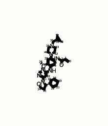 C=CC(=O)Nc1cc(Nc2cc(N3OCC[C@@H]3c3ccccc3)ncn2)c(OC)cc1N1CCN(CC2CC2)CC1